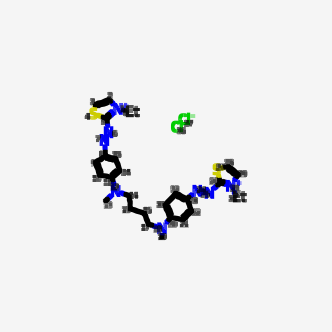 CC[n+]1ccsc1/N=N/c1ccc(N(C)CCCCN(C)c2ccc(/N=N/c3scc[n+]3CC)cc2)cc1.[Cl-].[Cl-]